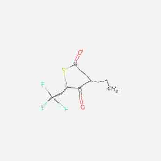 CCC1C(=O)SC(C(F)(F)F)C1=O